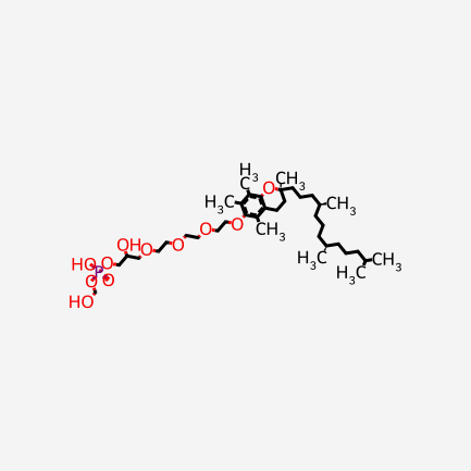 Cc1c(C)c2c(c(C)c1OCCOCCOCCOCC(O)COP(=O)(O)OCO)CC[C@](C)(CCC[C@@H](C)CCC[C@@H](C)CCCC(C)C)O2